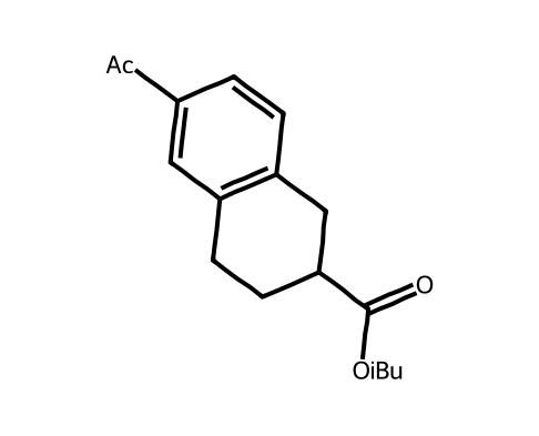 CC(=O)c1ccc2c(c1)CCC(C(=O)OCC(C)C)C2